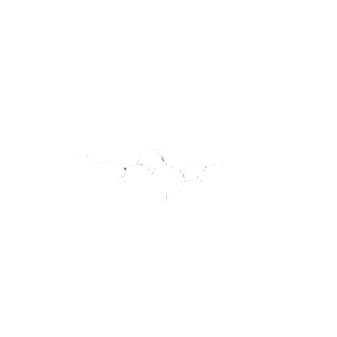 CCOC(=O)c1nc(-c2sc(C)nc2C)cs1